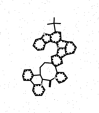 C=C1C2C(CCc3cc4c(cc3-c3cccc[n+]31)c1cccc3c5cc(C(C)(C)C)c6oc7ccccc7c6c5n4c13)c1ccccc1-c1cccc[n+]12